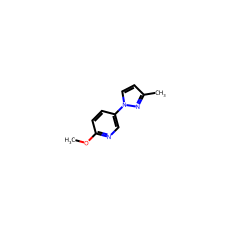 COc1ccc(-n2ccc(C)n2)cn1